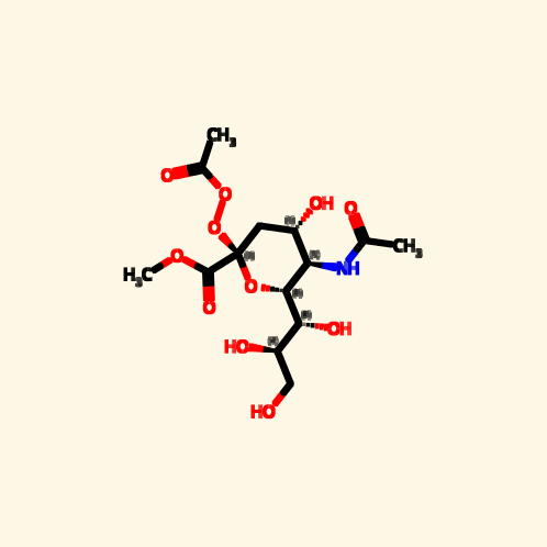 COC(=O)[C@]1(OOC(C)=O)C[C@H](O)[C@@H](NC(C)=O)[C@H]([C@H](O)[C@H](O)CO)O1